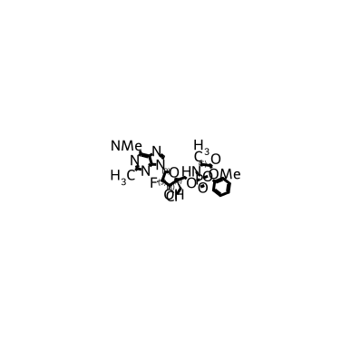 CNc1nc(C)nc2c1ncn2[C@@H]1O[C@](CCl)(COP(=O)(N[C@@H](C)C(=O)OC)Oc2ccccc2)[C@@H](O)[C@@H]1F